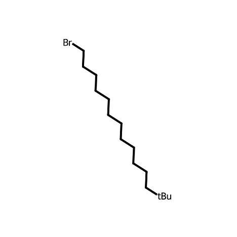 CC(C)(C)CCCCCCCCCCCCBr